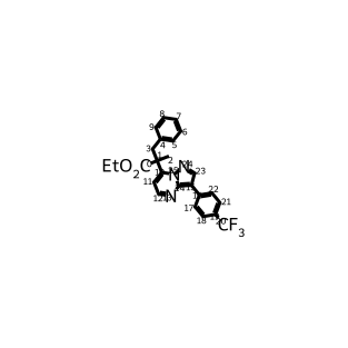 CCOC(=O)C(C)(Cc1ccccc1)c1ccnc2c(-c3ccc(C(F)(F)F)cc3)cnn12